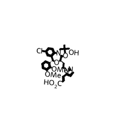 COc1cccc([C@H]2O[C@H](CCn3nccc3/C=C/C(=O)O)C(=O)N(CC(C)(C)CO)c3ccc(Cl)cc32)c1OC